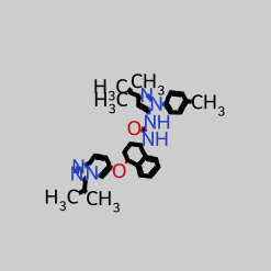 Cc1ccc(-n2nc(C(C)(C)C)cc2NC(=O)N[C@H]2CC[C@H](Oc3ccc4nnc(C(C)C)n4c3)c3ccccc32)cc1